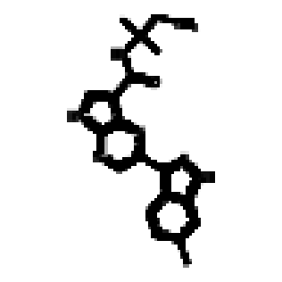 Cc1ccc2c(-c3cnc4[nH]cc(C(=O)NC(C)(C)CN)c4n3)n[nH]c2c1